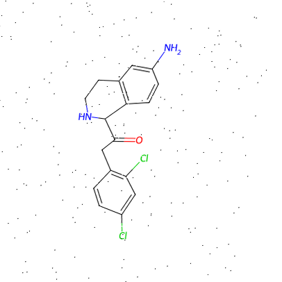 Nc1ccc2c(c1)CCNC2C(=O)Cc1ccc(Cl)cc1Cl